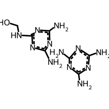 Nc1nc(N)nc(N)n1.Nc1nc(N)nc(NCO)n1